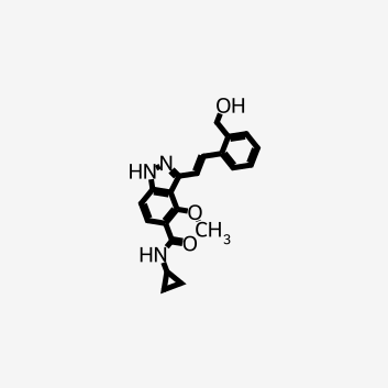 COc1c(C(=O)NC2CC2)ccc2[nH]nc(C=Cc3ccccc3CO)c12